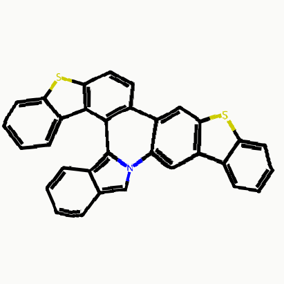 c1ccc2c(c1)cn1c3cc4c(cc3c3ccc5sc6ccccc6c5c3c21)sc1ccccc14